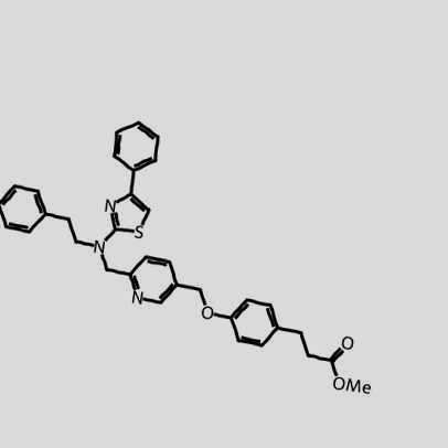 COC(=O)CCc1ccc(OCc2ccc(CN(CCc3ccccc3)c3nc(-c4ccccc4)cs3)nc2)cc1